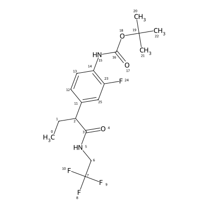 CCC(C(=O)NCC(F)(F)F)c1ccc(NC(=O)OC(C)(C)C)c(F)c1